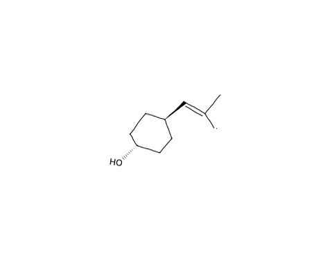 [CH2]/C(C)=C\[C@H]1CC[C@H](O)CC1